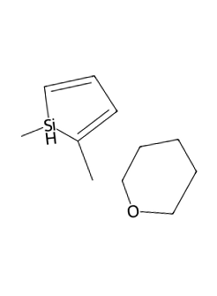 C1CCOCC1.CC1=CC=C[SiH]1C